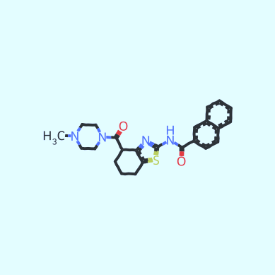 CN1CCN(C(=O)C2CCCc3sc(NC(=O)c4ccc5ccccc5c4)nc32)CC1